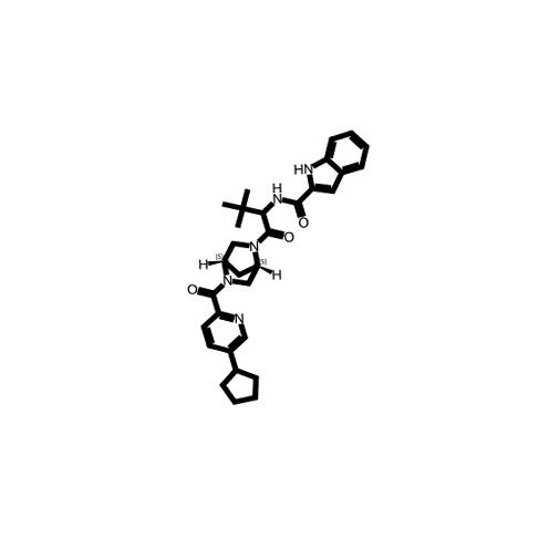 CC(C)(C)C(NC(=O)c1cc2ccccc2[nH]1)C(=O)N1C[C@@H]2C[C@H]1CN2C(=O)c1ccc(C2CCCC2)cn1